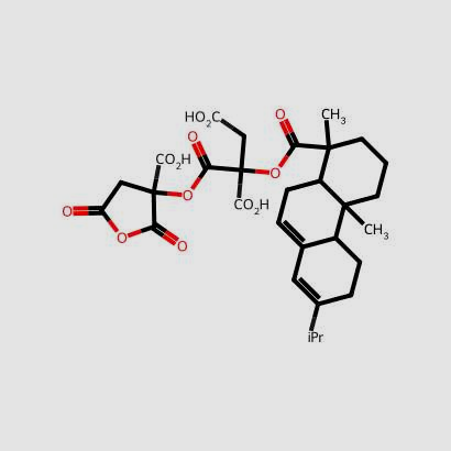 CC(C)C1=CC2=CCC3C(C)(C(=O)OC(CC(=O)O)(C(=O)O)C(=O)OC4(C(=O)O)CC(=O)OC4=O)CCCC3(C)C2CC1